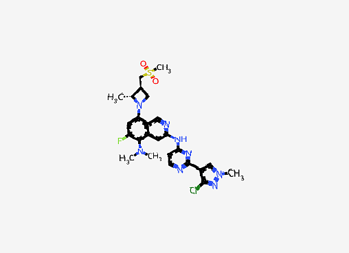 C[C@@H]1[C@@H](CS(C)(=O)=O)CN1c1cc(F)c(N(C)C)c2cc(Nc3ccnc(-c4cn(C)nc4Cl)n3)ncc12